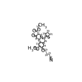 CCOC(=O)c1cn2c(cc1=O)-c1cc(OC)c(OCCCC#N)cc1CC2c1cccs1